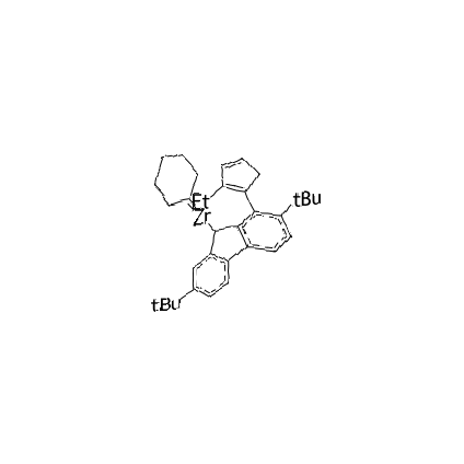 CCC1=C(c2c(C(C)(C)C)ccc3c2[CH]([Zr]=[C]2CCCCC2)c2cc(C(C)(C)C)ccc2-3)CC=C1